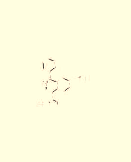 COc1ccc2c(C(=O)O)cnc(-c3ccccc3)c2c1